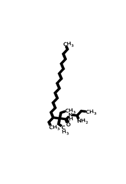 CCCCCCCCCCCCCCCC(CC)C(CC)(CC)C(=O)NC(N)CC